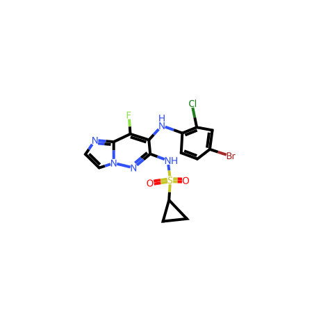 O=S(=O)(Nc1nn2ccnc2c(F)c1Nc1ccc(Br)cc1Cl)C1CC1